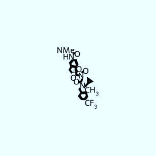 CNC(=O)Nc1ccc2c(c1)CC[C@@]21OC(=O)N(CC(=O)N(Cc2ccc(C(F)(F)F)cc2)C(C)C2CC2)C1=O